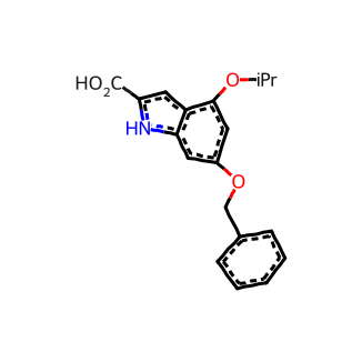 CC(C)Oc1cc(OCc2ccccc2)cc2[nH]c(C(=O)O)cc12